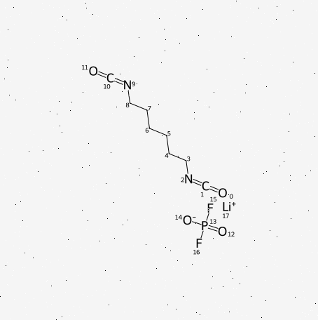 O=C=NCCCCCCN=C=O.O=P([O-])(F)F.[Li+]